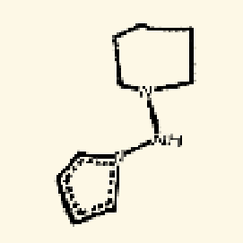 c1ccn(NN2CCCCC2)c1